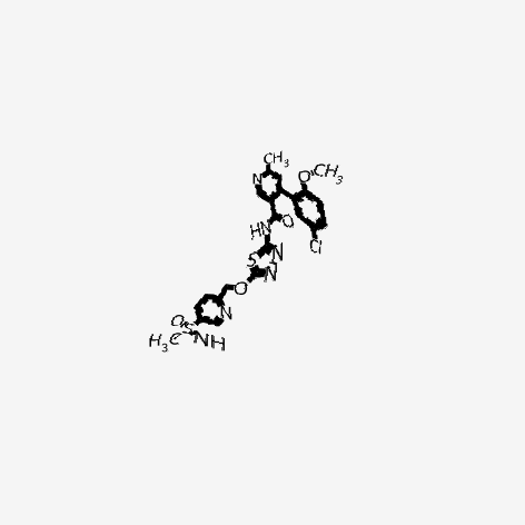 COc1ccc(Cl)cc1-c1cc(C)ncc1C(=O)Nc1nnc(OCc2ccc([S@@](C)(=N)=O)cn2)s1